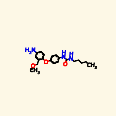 CCCCCNC(=O)Nc1ccc(Oc2ccc(N)cc2COC)cc1